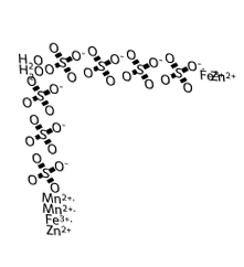 O.O.O=S(=O)([O-])[O-].O=S(=O)([O-])[O-].O=S(=O)([O-])[O-].O=S(=O)([O-])[O-].O=S(=O)([O-])[O-].O=S(=O)([O-])[O-].O=S(=O)([O-])[O-].[Fe+3].[Fe+3].[Mn+2].[Mn+2].[Zn+2].[Zn+2]